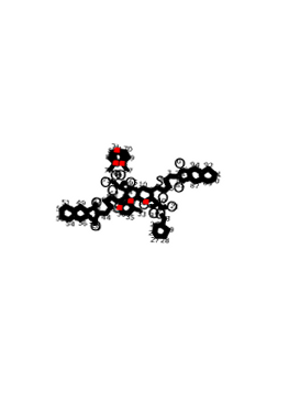 O=C1C(=Cc2cc3c(s2)C2=CC4C=C5C(=CC4C=C2C(C(=O)OCc2ccccc2)(C(=O)OCc2ccccc2)O3)c2sc(C=C3C(=O)c4cc6ccccc6cc4C3=O)cc2OC5(C(=O)OCc2ccccc2)C(=O)OCc2ccccc2)C(=O)c2cc3ccccc3cc21